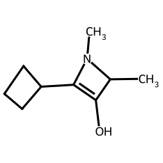 CC1C(O)=C(C2CCC2)N1C